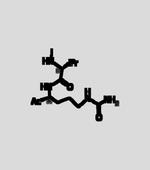 CC(=O)[C@H](CCCNC(N)=O)NC(=O)[C@@H](NI)C(C)C